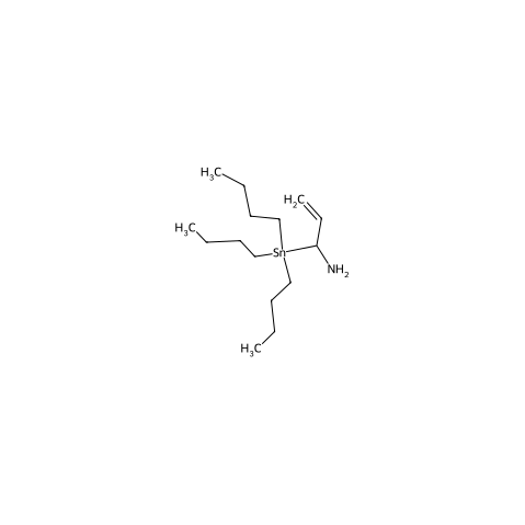 C=C[CH](N)[Sn]([CH2]CCC)([CH2]CCC)[CH2]CCC